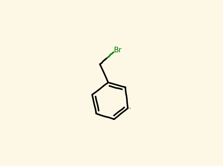 BrCc1c[c]ccc1